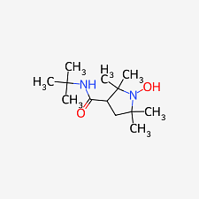 CC(C)(C)NC(=O)C1CC(C)(C)N(O)C1(C)C